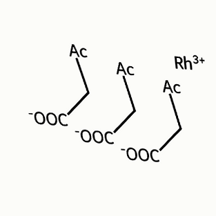 CC(=O)CC(=O)[O-].CC(=O)CC(=O)[O-].CC(=O)CC(=O)[O-].[Rh+3]